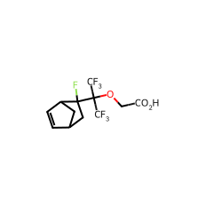 O=C(O)COC(C(F)(F)F)(C(F)(F)F)C1(F)CC2C=CC1C2